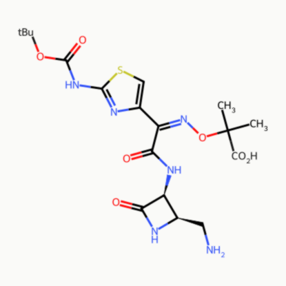 CC(C)(C)OC(=O)Nc1nc(/C(=N/OC(C)(C)C(=O)O)C(=O)N[C@@H]2C(=O)N[C@@H]2CN)cs1